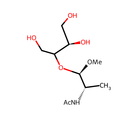 CO[C@H](OC(CO)[C@H](O)CO)[C@H](C)NC(C)=O